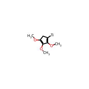 COC1=C(OC)C(OC)=[C]([Ti])C1